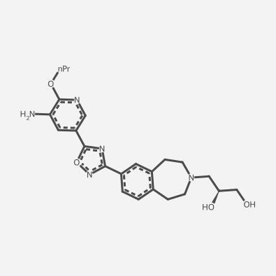 CCCOc1ncc(-c2nc(-c3ccc4c(c3)CCN(C[C@H](O)CO)CC4)no2)cc1N